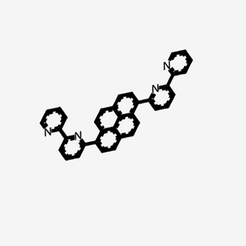 c1ccc(-c2cccc(-c3ccc4ccc5c(-c6cccc(-c7ccccn7)n6)ccc6ccc3c4c65)n2)nc1